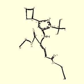 CCOC(=O)C=C=C(Nc1cc(C2CCC2)nn1C(C)(C)C)C(=O)OCC